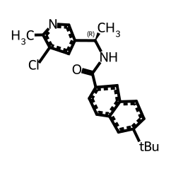 Cc1ncc([C@@H](C)NC(=O)c2ccc3cc(C(C)(C)C)ccc3c2)cc1Cl